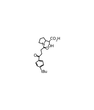 CC(C)(C)c1ccc(C(=O)CCC(=O)N2CCCC2C(O)C(=O)O)cc1